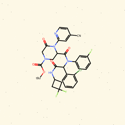 CC(C)(C)OC(=O)N1CC(=O)N(c2cc(C#N)ccn2)C(C(=O)N(c2cccc(F)c2)C(C(=O)NC2CC(F)(F)C2)c2ccccc2Cl)C1